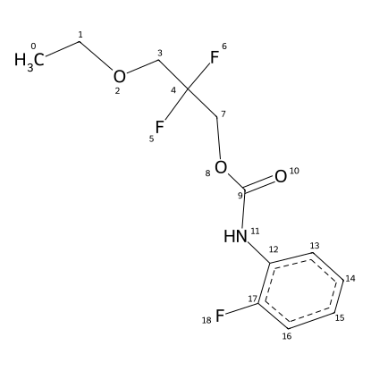 CCOCC(F)(F)COC(=O)Nc1ccccc1F